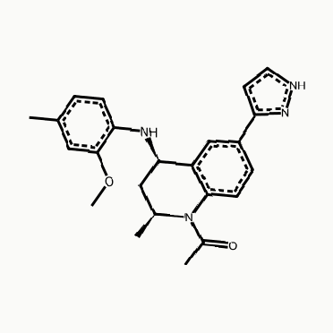 COc1cc(C)ccc1N[C@@H]1C[C@H](C)N(C(C)=O)c2ccc(-c3cc[nH]n3)cc21